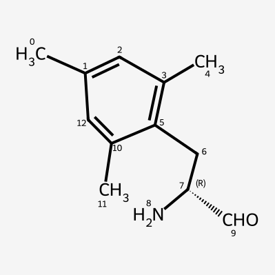 Cc1cc(C)c(C[C@@H](N)C=O)c(C)c1